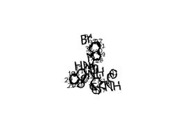 O=C=CC(C[C@@H]1CCNC1=C=O)NC(=C=O)C(Cc1ccccc1)NC(=O)c1ccc2ccc(Br)cc2n1